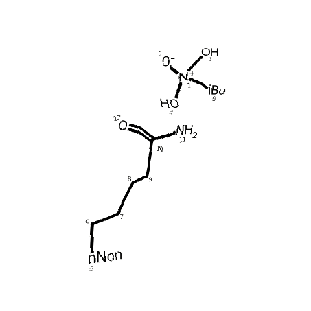 CCC(C)[N+]([O-])(O)O.CCCCCCCCCCCCCC(N)=O